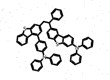 c1ccc(C(Cc2cc(-c3ccc(N(c4ccccc4)c4ccccc4)cc3)c3c(c2)sc2ccccc23)c2ccc3sc4cc(N(c5ccccc5)c5ccccc5)ccc4c3c2)cc1